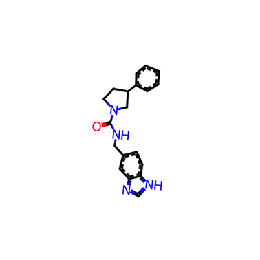 O=C(NCc1ccc2[nH]cnc2c1)N1CCC(c2ccccc2)C1